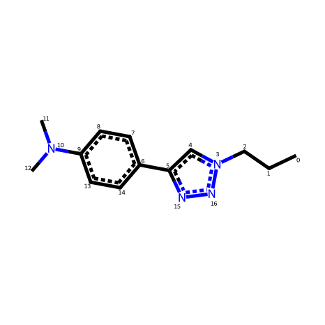 CCCn1cc(-c2ccc(N(C)C)cc2)nn1